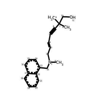 CN(C/C=C/C#CC(C)(C)CO)Cc1cccc2ccccc12